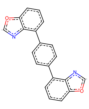 [c]1nc2c(-c3ccc(-c4cccc5o[c]nc45)cc3)cccc2o1